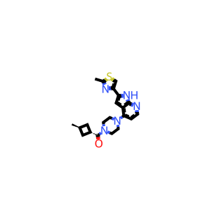 Cc1nc(-c2cc3c(N4CCN(C(=O)[C@H]5C[C@H](C)C5)CC4)ccnc3[nH]2)cs1